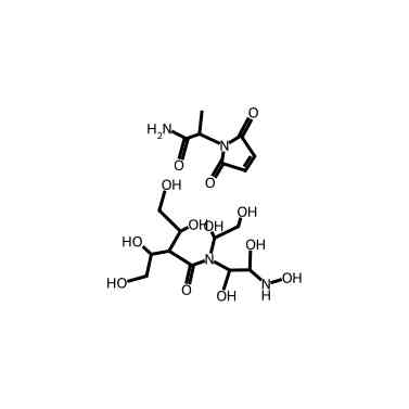 CC(C(N)=O)N1C(=O)C=CC1=O.O=C(C(C(O)CO)C(O)CO)N(C(O)CO)C(O)C(O)NO